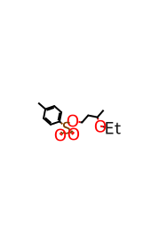 CCOC(C)CCOS(=O)(=O)c1ccc(C)cc1